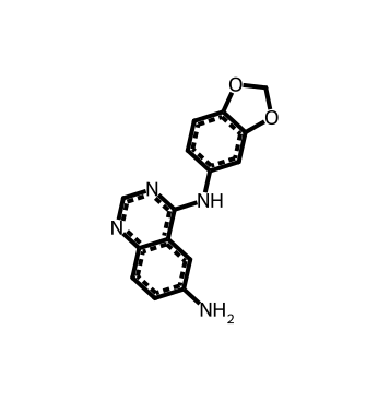 Nc1ccc2ncnc(Nc3ccc4c(c3)OCO4)c2c1